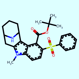 Cn1c2c(c3c(C(=O)OC(C)(C)C)c(S(=O)(=O)c4ccccc4)ccc31)C1CCCC(C2)N1